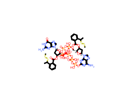 CSSC(C)c1ccccc1C(=O)OC1C[C@H](n2cnc3c(N)nc(OP(=O)(O)OP(=O)(O)OP(=O)(O)OC[C@H]4O[C@@H](n5cnc6c(=O)[nH]c(N)nc65)CC4OC(=O)c4ccccc4C(C)SSC)nc32)O[C@@H]1COP(=O)(O)OP(=O)(O)OP(=O)(O)O